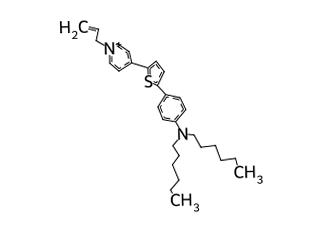 C=CC[n+]1ccc(-c2ccc(-c3ccc(N(CCCCCC)CCCCCC)cc3)s2)cc1